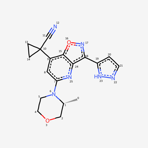 C[C@@H]1COCCN1c1cc(C2(C#N)CC2)c2onc(-c3ccn[nH]3)c2n1